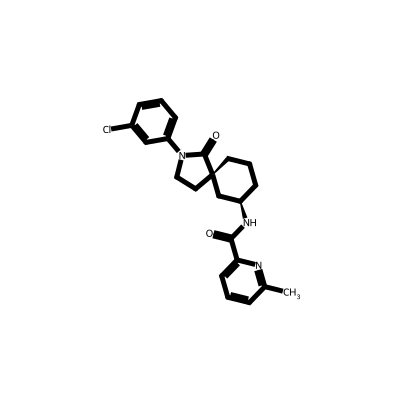 Cc1cccc(C(=O)N[C@@H]2CCC[C@]3(CCN(c4cccc(Cl)c4)C3=O)C2)n1